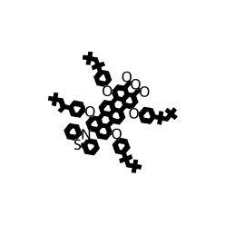 C/C(=C\C(C)(C)C)c1ccc(Oc2cc(N3c4ccccc4Sc4ccccc43)c3ccc(Oc4ccc(C(C)(C)CC(C)(C)C)cc4)c4c5ccc6c7c(Oc8ccc(C(C)(C)CC(C)(C)C)cc8)cc8c9c(cc(Oc%10ccc(C(C)(C)CC(C)(C)C)cc%10)c(c%10ccc(c2c34)c5c6%10)c97)C(=O)OC8=O)cc1